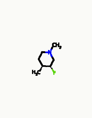 C[C@@H]1CCN(C)C[C@@H]1F